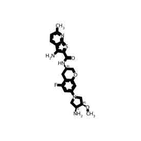 CO[C@@H]1CN(c2cc(F)c3c(c2)OC[C@H](NC(=O)c2sc4nc(C)ccc4c2N)C3)C[C@@H]1N